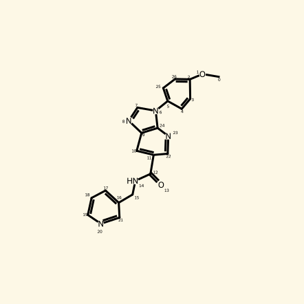 COc1ccc(-n2cnc3cc(C(=O)NCc4cccnc4)cnc32)cc1